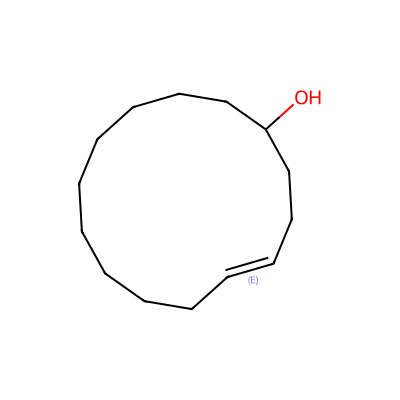 OC1CC/C=C/CCCCCCCCC1